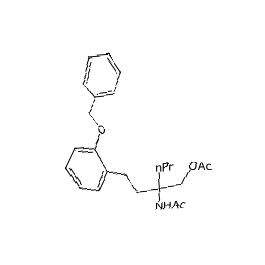 CCCC(CCc1ccccc1OCc1ccccc1)(COC(C)=O)NC(C)=O